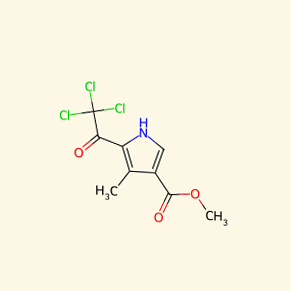 COC(=O)c1c[nH]c(C(=O)C(Cl)(Cl)Cl)c1C